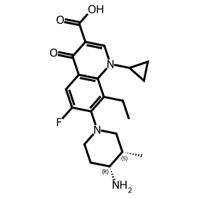 CCc1c(N2CC[C@@H](N)[C@@H](C)C2)c(F)cc2c(=O)c(C(=O)O)cn(C3CC3)c12